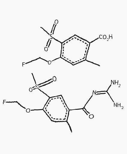 Cc1cc(OCF)c(S(C)(=O)=O)cc1C(=O)N=C(N)N.Cc1cc(OCF)c(S(C)(=O)=O)cc1C(=O)O